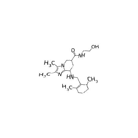 CC1=C(CNC2CC(C(=O)NCCO)Cn3c2nc(C)c3C)C(C)CCC1